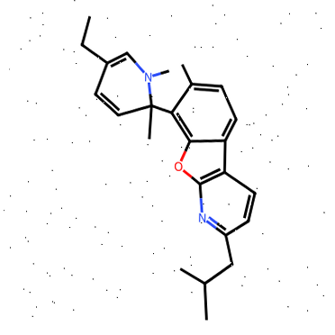 CCC1=CN(C)C(C)(c2c(C)ccc3c2oc2nc(CC(C)C)ccc23)C=C1